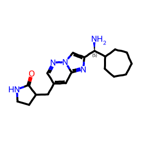 N[C@H](c1cn2ncc(CC3CCNC3=O)cc2n1)C1CCCCCC1